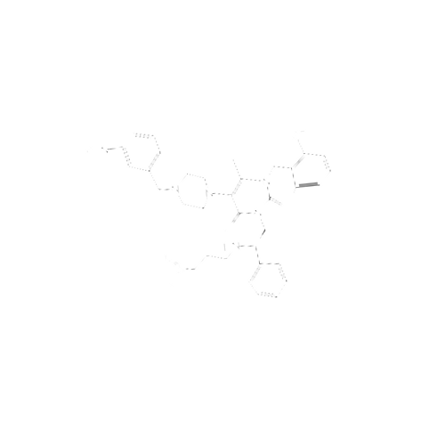 C=C1N(C[C@H](NCCCS(=O)O)c2ccccc2)C(=O)C(N2CCN(Cc3cccc([N+](=O)[O-])c3)CC2)=C(C)N1Cc1c(F)cccc1C(F)(F)F